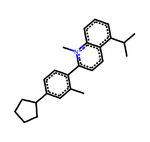 Cc1cc(C2CCCC2)ccc1-c1ccc2c(C(C)C)cccc2[n+]1C